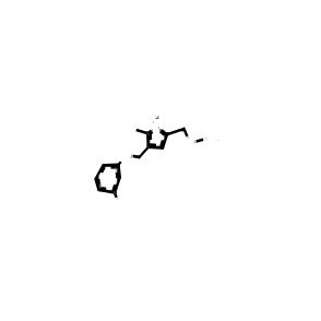 CCOC(=O)c1c(COc2cccc(C)c2)cc(COC(C)(C)C)n1C